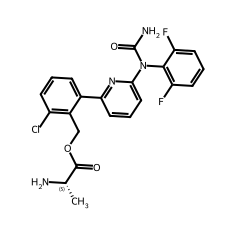 C[C@H](N)C(=O)OCc1c(Cl)cccc1-c1cccc(N(C(N)=O)c2c(F)cccc2F)n1